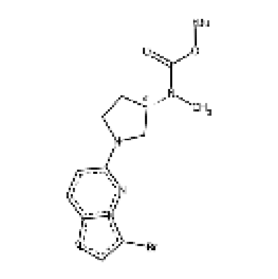 CN(C(=O)OC(C)(C)C)[C@H]1CCN(c2ccc3ncc(Br)n3n2)C1